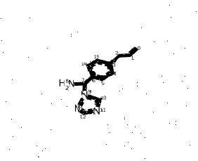 C=CCc1ccc(C(N)n2cncn2)cc1